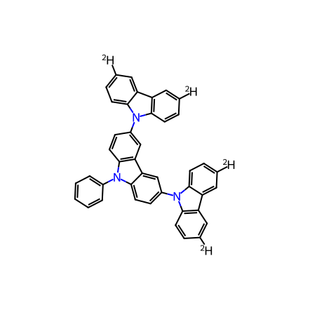 [2H]c1ccc2c(c1)c1cc([2H])ccc1n2-c1ccc2c(c1)c1cc(-n3c4ccc([2H])cc4c4cc([2H])ccc43)ccc1n2-c1ccccc1